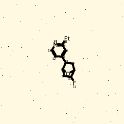 CCc1cc(C2CC3OC2CC3F)ccn1